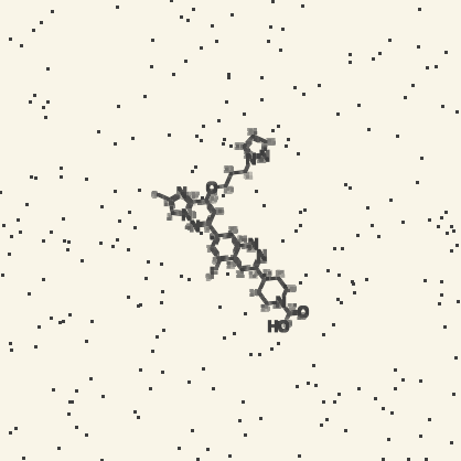 Cc1cn2nc(-c3cc(F)c4cc(C5CCN(C(=O)O)CC5)nnc4c3)cc(OCCCn3cccn3)c2n1